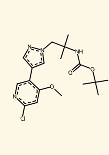 COc1cc(Cl)ncc1-c1cnn(CC(C)(C)NC(=O)OC(C)(C)C)c1